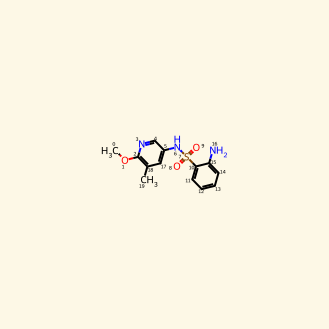 COc1ncc(NS(=O)(=O)c2ccccc2N)cc1C